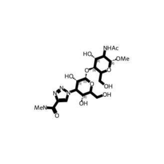 CNC(=O)c1cn(C2[C@@H](O)C(CO)O[C@@H](O[C@@H]3C(CO)O[C@@H](OC)C(NC(C)=O)[C@H]3O)[C@H]2O)nn1